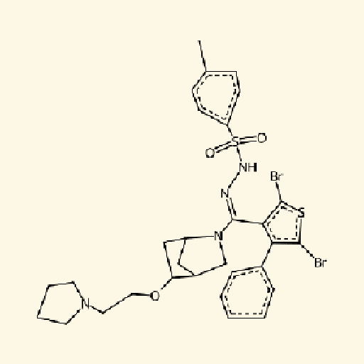 Cc1ccc(S(=O)(=O)NN=C(c2c(Br)sc(Br)c2-c2ccccc2)N2CC3CC2CC3OCCN2CCCC2)cc1